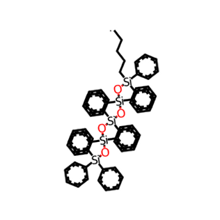 [CH2]CCCC[Si](O[Si](O[Si](O[Si](O[Si](c1ccccc1)(c1ccccc1)c1ccccc1)(c1ccccc1)c1ccccc1)(c1ccccc1)c1ccccc1)(c1ccccc1)c1ccccc1)(c1ccccc1)c1ccccc1